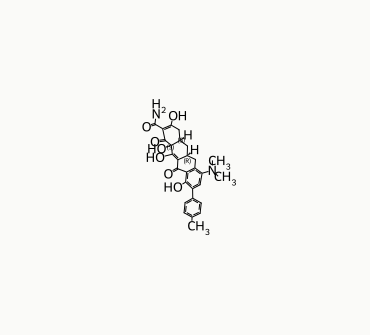 Cc1ccc(-c2cc(N(C)C)c3c(c2O)C(=O)C2=C(O)[C@]4(O)C(=O)C(C(N)=O)=C(O)C[C@@H]4C[C@@H]2C3)cc1